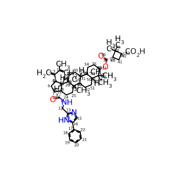 C=C(C)C(=C)[C@@H]1CC[C@]2(C(=O)NCc3ncc(-c4ccccc4)[nH]3)CC[C@]3(C)[C@H](CC[C@@H]4[C@@]5(C)CC[C@H](OC(=O)[C@H]6C[C@@H](C(=O)O)C6(C)C)C(C)(C)[C@@H]5CC[C@]43C)[C@@H]12